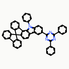 c1ccc(-c2nc(-c3ccccc3)nc(-c3ccc4c(c3)c3ccc5c(c3n4-c3ccccc3)-c3ccccc3C53c4ccccc4-c4ccccc43)n2)cc1